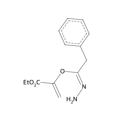 C=C(O/C(Cc1ccccc1)=N\N)C(=O)OCC